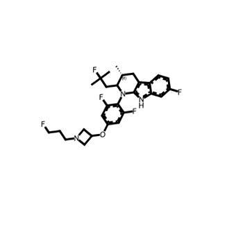 C[C@@H]1Cc2c([nH]c3cc(F)ccc23)N(c2c(F)cc(OC3CN(CCCF)C3)cc2F)C1CC(C)(C)F